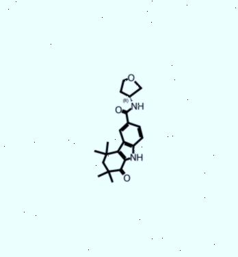 CC1(C)CC(C)(C)c2c([nH]c3ccc(C(=O)N[C@@H]4CCOC4)cc23)C1=O